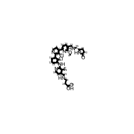 COc1nc(-c2ccnc(-c3cccc(Nc4nccc(CNCCC(=O)O)c4F)c3Cl)c2Cl)ccc1CNC[C@@H]1CCC(=O)N1